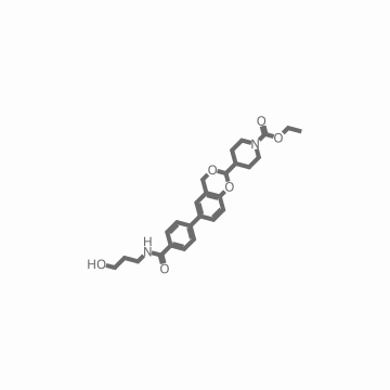 CCOC(=O)N1CCC(C2OCc3cc(-c4ccc(C(=O)NCCCO)cc4)ccc3O2)CC1